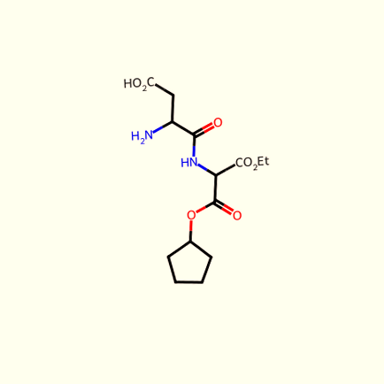 CCOC(=O)C(NC(=O)C(N)CC(=O)O)C(=O)OC1CCCC1